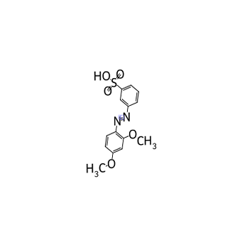 COc1ccc(/N=N/c2cccc(S(=O)(=O)O)c2)c(OC)c1